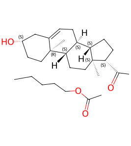 CC(=O)[C@H]1CC[C@H]2[C@@H]3CC=C4C[C@@H](O)CC[C@]4(C)[C@H]3CC[C@]12C.CCCCCOC(C)=O